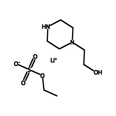 CCOS(=O)(=O)[O-].OCCN1CCNCC1.[Li+]